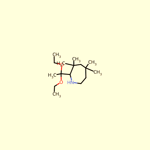 CCOC(C)(OCC)C1NCCC(C)(C)CC1(C)C